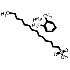 CCCCCCCCCCCCCCS(=O)(=O)O.Cc1ccccc1C.[NaH]